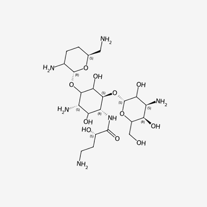 NCC[C@H](O)C(=O)N[C@@H]1C(O)[C@H](N)C(O[C@H]2O[C@H](CN)CCC2N)C(O)[C@H]1O[C@H]1OC(CO)[C@H](O)[C@H](N)C1O